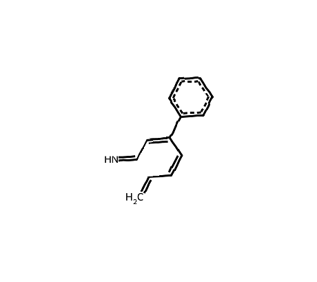 C=C/C=C\C(=C/C=N)c1ccccc1